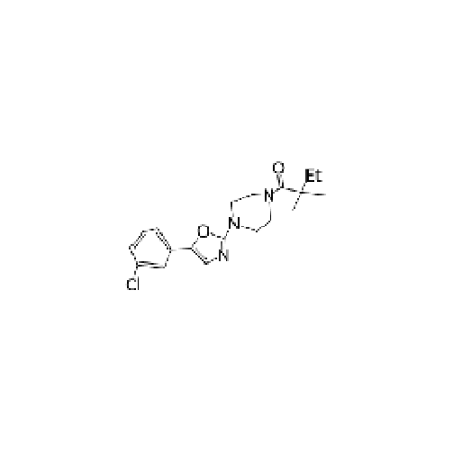 CCC(C)(C)C(=O)N1CCN(c2ncc(-c3cccc(Cl)c3)o2)CC1